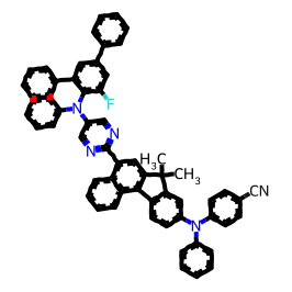 CC1(C)c2cc(N(c3ccccc3)c3ccc(C#N)cc3)ccc2-c2c1cc(-c1ncc(N(c3ccccc3)c3c(F)cc(-c4ccccc4)cc3-c3ccccc3)cn1)c1ccccc21